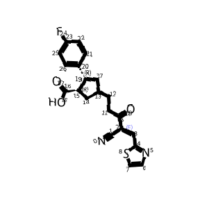 N#C/C(=C\c1nccs1)C(=O)CCC1C[C@@H](C(=O)O)[C@H](c2ccc(F)cc2)C1